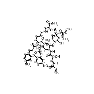 CN(C(=O)OC(C)(C)C)[C@@H]1[C@@H](O)[C@@H](O[C@@H]2[C@@H](O)[C@H](C3OC(CNCC(O)C(N)=O)=CC[C@H]3NC(=O)OCc3ccc([N+](=O)[O-])cc3)[C@@H](NC(=O)OCc3ccc([N+](=O)[O-])cc3)C[C@H]2NC(=O)[C@@H](O)CNC(=O)OC(C)(C)C)OC[C@]1(C)O